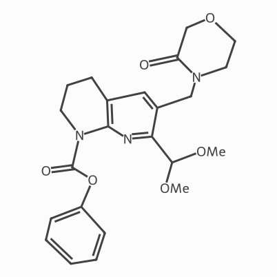 COC(OC)c1nc2c(cc1CN1CCOCC1=O)CCCN2C(=O)Oc1ccccc1